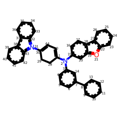 C1=C(N(c2cccc(-c3ccccc3)c2)c2ccc3c(c2)oc2ccccc23)CCC(n2c3ccccc3c3ccccc32)=C1